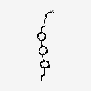 CC=Cc1ccc(-c2ccc(-c3ccc(COCC=CCC)cc3)cc2)cc1